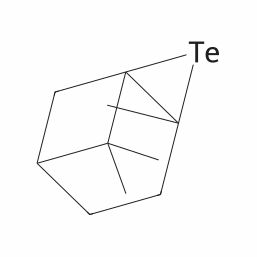 CC12CCC3CC1([Te]2)C3(C)C